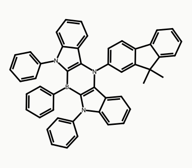 CC1(C)c2ccccc2-c2ccc(N3c4c(n(-c5ccccc5)c5ccccc45)B(c4ccccc4)c4c3c3ccccc3n4-c3ccccc3)cc21